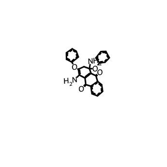 NC1=C(Oc2ccccc2)CC(N)(Oc2ccccc2)C2=C1C(=O)c1ccccc1C2=O